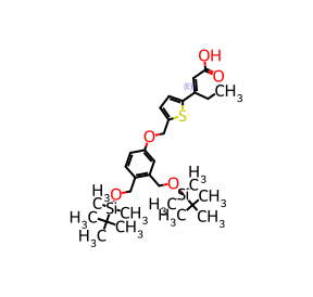 CC/C(=C\C(=O)O)c1ccc(COc2ccc(CO[Si](C)(C)C(C)(C)C)c(CO[Si](C)(C)C(C)(C)C)c2)s1